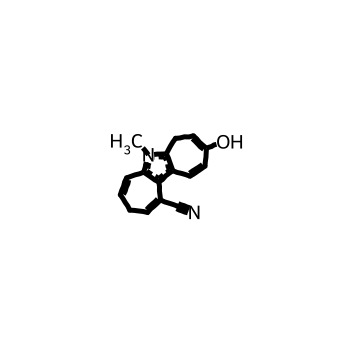 Cn1c2c(c3c1CC=C(O)C=C3)C(C#N)=CCC=C2